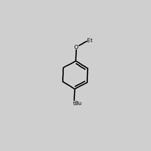 CCOC1=CC=C(C(C)(C)C)CC1